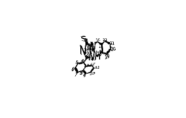 S=c1nc(-c2cccc3ccccc23)[nH]n1Cc1ccccc1